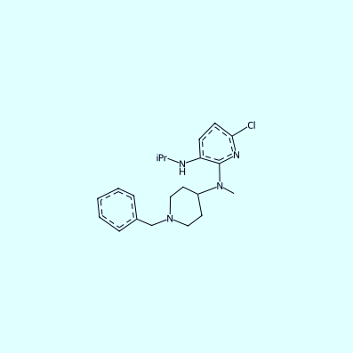 CC(C)Nc1ccc(Cl)nc1N(C)C1CCN(Cc2ccccc2)CC1